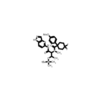 COc1ccc(C2(C(=O)N(C)C(C(=O)Nc3ccc4[nH]ncc4n3)C(C)O[Si](C)(C)C(C)(C)C)CCC(F)(F)CC2)cc1